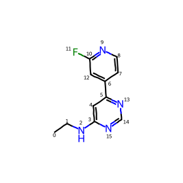 CCNc1cc(-c2ccnc(F)c2)ncn1